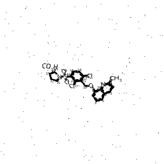 Cc1ccc2cccc(OCc3c(Cl)ccc(S(=O)(=O)N4CCC[C@H]4C(=O)O)c3Cl)c2n1